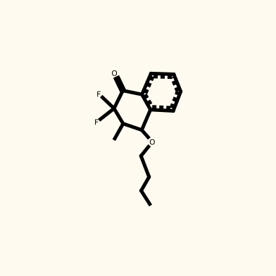 CCCCOC1c2ccccc2C(=O)C(F)(F)C1C